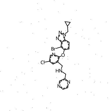 Clc1cnc(Oc2ccc3c(nnn3CC3CC3)c2Br)c(CNCc2cnccn2)c1